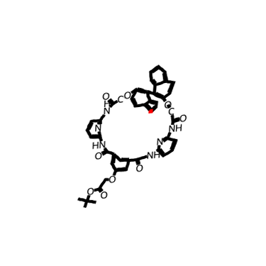 CC(C)(C)OC(=O)COc1cc2cc(c1)C(=O)Nc1cccc(n1)NC(=O)COc1ccc3ccccc3c1-c1c(ccc3ccccc13)OCC(=O)Nc1cccc(n1)NC2=O